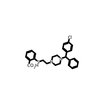 O=C(O)c1ccccc1SCCN1CCN(C(c2ccccc2)c2ccc(Cl)cc2)CC1